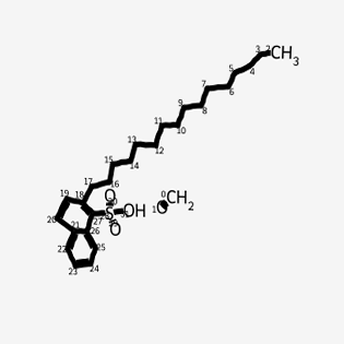 C=O.CCCCCCCCCCCCCCCCc1ccc2ccccc2c1S(=O)(=O)O